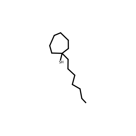 CCCCCCCC1(S)CCCCCC1